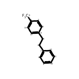 FC(F)(F)c1ccc(C[CH]c2ccccc2)cc1